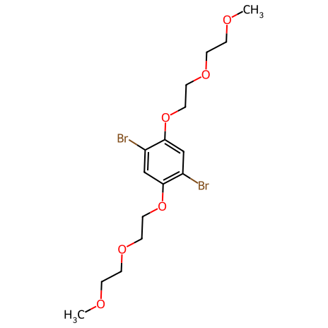 COCCOCCOc1cc(Br)c(OCCOCCOC)cc1Br